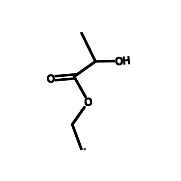 [CH2]COC(=O)C(C)O